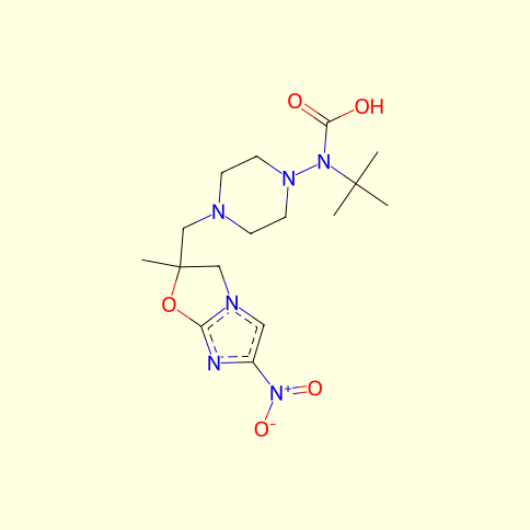 CC1(CN2CCN(N(C(=O)O)C(C)(C)C)CC2)Cn2cc([N+](=O)[O-])nc2O1